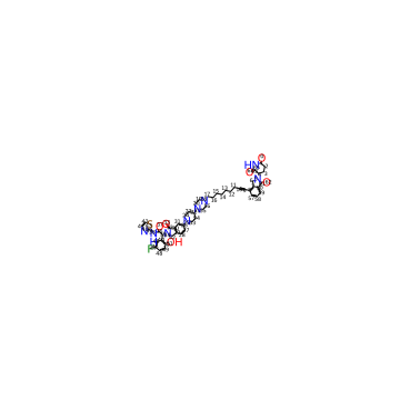 O=C1CCC(N2Cc3c(C#CCCCCCCCN4CCN(C5CCN(c6ccc7c(c6)C(=O)N(C(C(=O)Nc6nccs6)c6cc(F)ccc6O)C7)CC5)CC4)cccc3C2=O)C(=O)N1